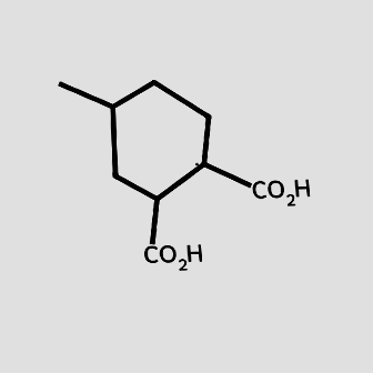 CC1CC[C](C(=O)O)C(C(=O)O)C1